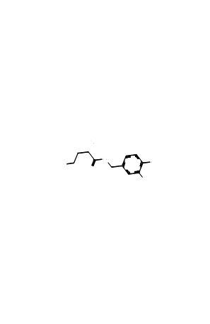 CC[C@H](C)[C@H](N)C(=O)NCc1ccc(Cl)c(Cl)c1